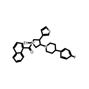 CC[N+]1(C(=O)c2cccc3ccccc23)CC(c2ccsc2)C(N2CCC(c3ccc(F)cc3)CC2)C1